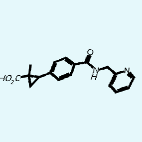 CC1(C(=O)O)CC1c1ccc(C(=O)NCc2ccccn2)cc1